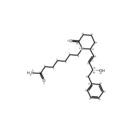 NC(=O)CCCCCCN1C(=O)CCCC1/C=C/[C@H](O)Cc1ccccc1